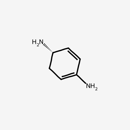 NC1=CC[C@H](N)C=C1